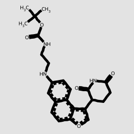 CC(C)(C)OC(=O)NCCNc1ccc2c(ccc3occ(C4CCC(=O)NC4=O)c32)c1